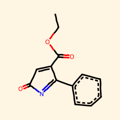 CCOC(=O)C1=CC(=O)N=C1c1ccccc1